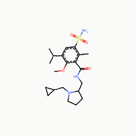 COc1c(C(C)C)cc(S(N)(=O)=O)c(C)c1C(=O)NCC1CCCN1CC1CC1